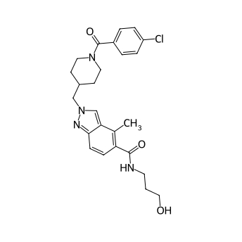 Cc1c(C(=O)NCCCO)ccc2nn(CC3CCN(C(=O)c4ccc(Cl)cc4)CC3)cc12